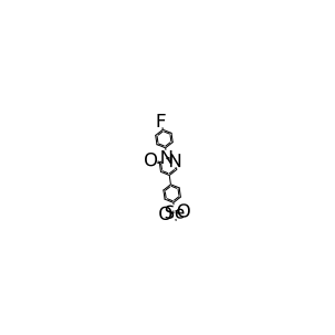 C[Se](=O)(=O)c1ccc(-c2cnn(-c3ccc(F)cc3)c(=O)c2)cc1